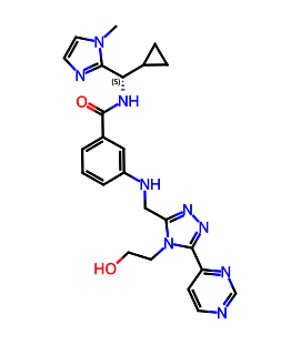 Cn1ccnc1[C@@H](NC(=O)c1cccc(NCc2nnc(-c3ccncn3)n2CCO)c1)C1CC1